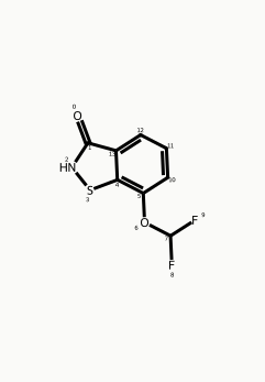 O=c1[nH]sc2c(OC(F)F)cccc12